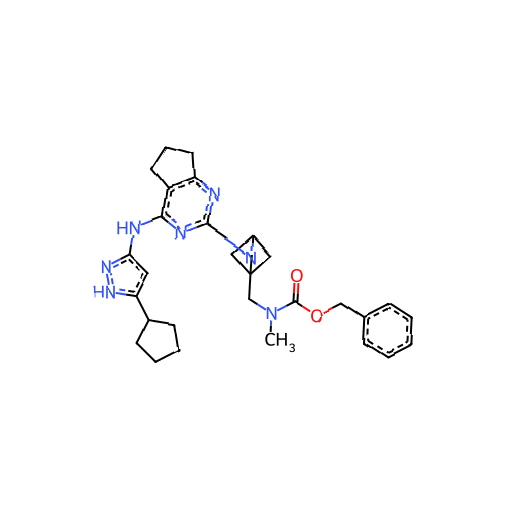 CN(CC12CC(C1)N(c1nc3c(c(Nc4cc(C5CCCC5)[nH]n4)n1)CCC3)C2)C(=O)OCc1ccccc1